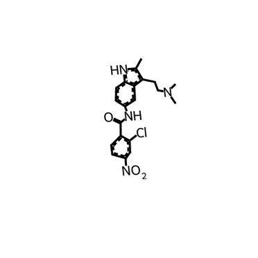 Cc1[nH]c2ccc(NC(=O)c3ccc([N+](=O)[O-])cc3Cl)cc2c1CCN(C)C